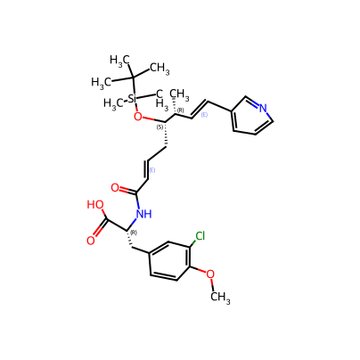 COc1ccc(C[C@@H](NC(=O)/C=C/C[C@H](O[Si](C)(C)C(C)(C)C)[C@H](C)/C=C/c2cccnc2)C(=O)O)cc1Cl